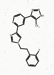 Fc1ccccc1CCn1cnc(-c2cc(-c3nn[nH]c3C(F)(F)F)ccn2)c1